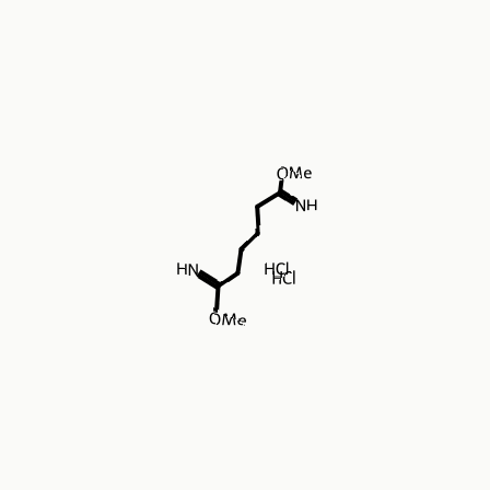 COC(=N)CCCCC(=N)OC.Cl.Cl